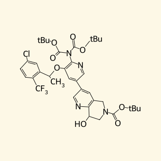 CC(Oc1cc(-c2cnc3c(c2)CN(C(=O)OC(C)(C)C)CC3O)cnc1N(C(=O)OC(C)(C)C)C(=O)OC(C)(C)C)c1cc(Cl)ccc1C(F)(F)F